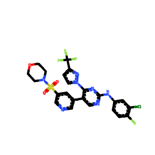 O=S(=O)(c1cncc(-c2cnc(Nc3ccc(F)c(Cl)c3)nc2-n2ccc(C(F)(F)F)n2)c1)N1CCOCC1